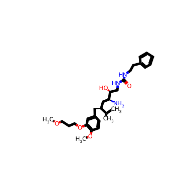 COCCCOc1cc(C[C@@H](C[C@H](N)[C@@H](O)CNC(=O)NCCc2ccccc2)C(C)C)ccc1OC